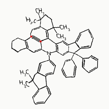 CC1(C)CCC(C)(C)c2c(-c3cc4c(cc3N(c3ccc5c(c3)CCCC5)c3ccc5c(c3)C(C)(C)c3ccccc3-5)C(c3ccccc3)(c3ccccc3)c3ccccc3-4)cccc21